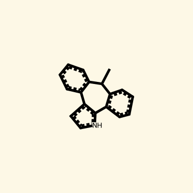 CC1c2ccccc2-c2cc[nH]c2-c2ccccc21